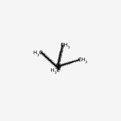 CCCCCCCCCCCCCCCCCCCCCCSc1cc(CC)cc(SCCCCCCCCCCCCCCCCCCCCCC)c1SCCCCCCCCCCCCCCCCCCCCCC